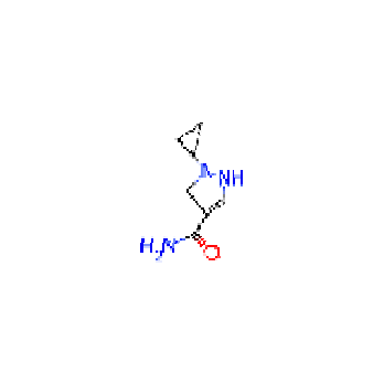 NC(=O)C1=CNN(C2CC2)C1